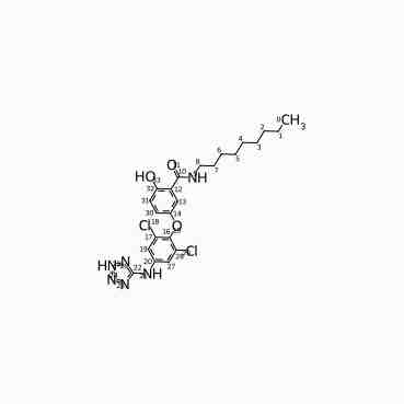 CCCCCCCCCNC(=O)c1cc(Oc2c(Cl)cc(Nc3nn[nH]n3)cc2Cl)ccc1O